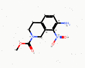 COC(=O)N1CCc2ccc(N)c([N+](=O)[O-])c2C1